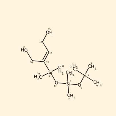 C[Si](C)(C)O[Si](C)(C)O[Si](C)(C)C(=CCO)CO